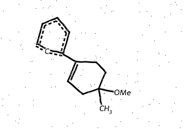 COC1(C)CC=C(c2ccccc2)CC1